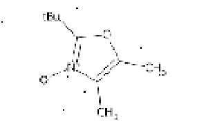 Cc1oc(C(C)(C)C)[n+]([O-])c1C